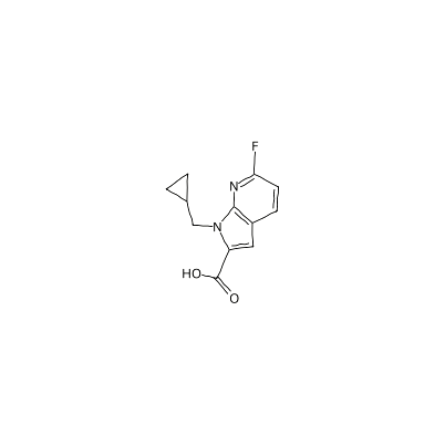 O=C(O)c1cc2ccc(F)nc2n1CC1CC1